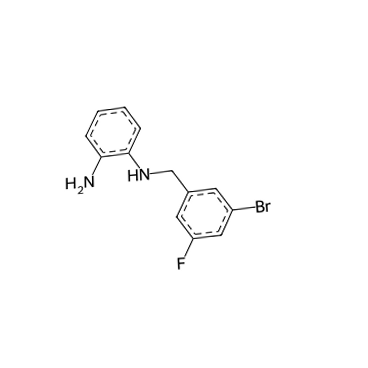 Nc1ccccc1NCc1cc(F)cc(Br)c1